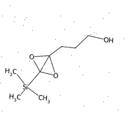 C[Si](C)(C)C12OC1(CCCO)O2